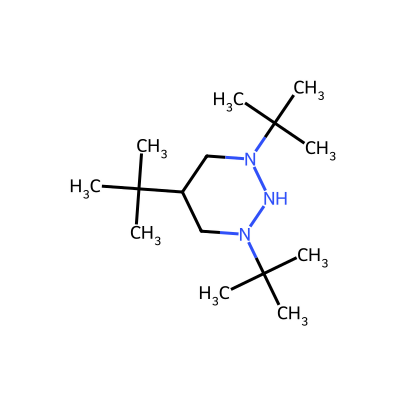 CC(C)(C)C1CN(C(C)(C)C)NN(C(C)(C)C)C1